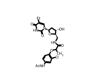 CCc1cn([C@H]2C[C@H](O)[C@@H](CNC(=O)C(C)Oc3ccc(NC(C)=O)cc3Cl)O2)c(=O)[nH]c1=O